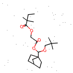 CCC(C)(C)C(=O)OCC(=O)OC(OCC(C)(C)C)C12CCC(CC1)C2